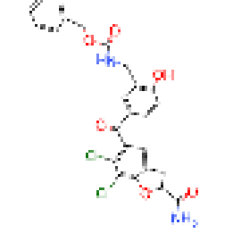 NC(=O)C1Cc2cc(C(=O)c3ccc(O)c(CNC(=O)OCc4ccccc4)c3)c(Cl)c(Cl)c2O1